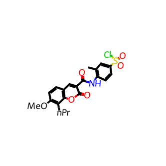 CCCc1c(OC)ccc2cc(C(=O)Nc3ccc(S(=O)(=O)Cl)cc3C)c(=O)oc12